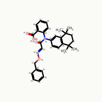 CC1(C)CCC(C)(C)c2cc(N(C(=O)C=NOCc3ccccc3)c3ccccc3C(=O)O)ccc21